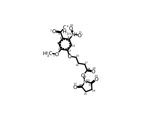 COc1cc(C(C)=O)c([N+](=O)[O-])cc1OCCCC(=O)ON1C(=O)CCC1=O